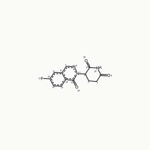 O=C1CCC(n2ncc3cc(F)ccc3c2=O)C(=O)N1